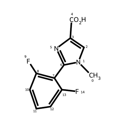 Cn1cc(C(=O)O)nc1-c1c(F)cccc1F